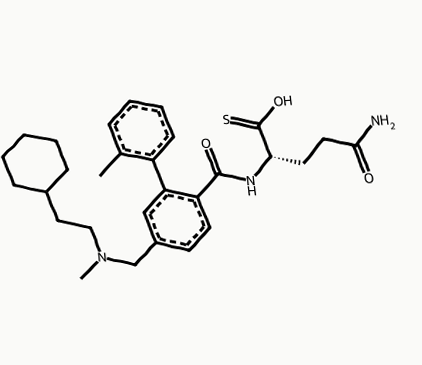 Cc1ccccc1-c1cc(CN(C)CCC2CCCCC2)ccc1C(=O)N[C@@H](CCC(N)=O)C(O)=S